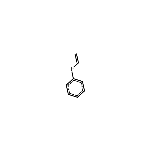 C=C[I+]c1ccccc1